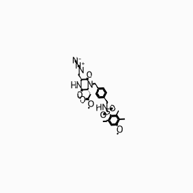 COC(=O)C[C@@H]1C(=O)N[C@@H](CN=[N+]=[N-])C(=O)N1Cc1ccc(CNS(=O)(=O)c2c(C)cc(OC)c(C)c2C)cc1